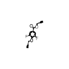 C#CCOC(=O)c1cc(F)c(OCC#C)c(F)c1